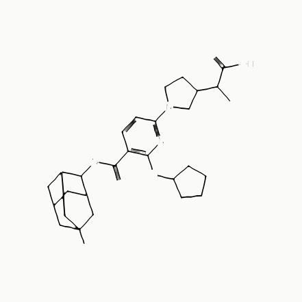 CC(C(=O)O)C1CCN(c2ccc(C(=O)NC3C4CC5CC3CC(O)(C5)C4)c(SC3CCCC3)n2)C1